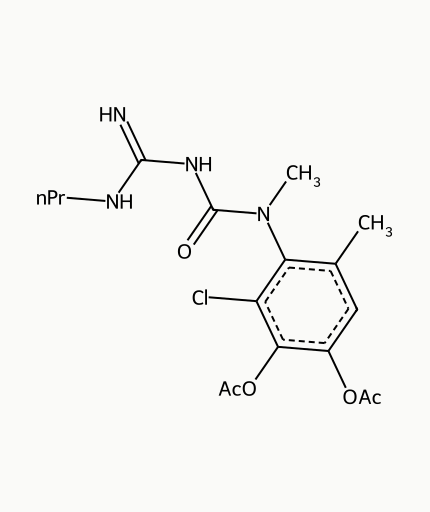 CCCNC(=N)NC(=O)N(C)c1c(C)cc(OC(C)=O)c(OC(C)=O)c1Cl